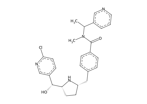 CC(c1cccnc1)N(C)C(=O)c1ccc(C[C@@H]2CC[C@H]([C@H](O)c3ccc(Cl)nc3)N2)cc1